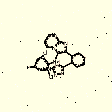 CNc1nnc(-c2ccccc2-c2nc3ncccn3c2Nc2c(Cl)cc(F)cc2Cl)o1